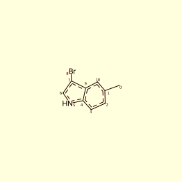 Cc1ccc2[nH]cc(Br)c2c1